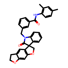 Cc1ccc(NC(=O)c2cccc(CN3C(=O)C4(COc5cc6c(cc54)CCO6)c4ccccc43)c2)c(C)c1